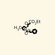 CCOC(=O)CC(=O)C[C@@H]1CC(C)CN1C(=O)OCc1ccccc1